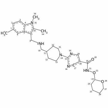 Cc1ccc2c(c1)c(CNCC1CCN(c3ncc(C(=O)NOC4CCCCO4)cn3)CC1)c(C)n2C